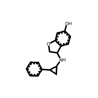 Oc1ccc2c(c1)OCC2NC1CC1c1ccccc1